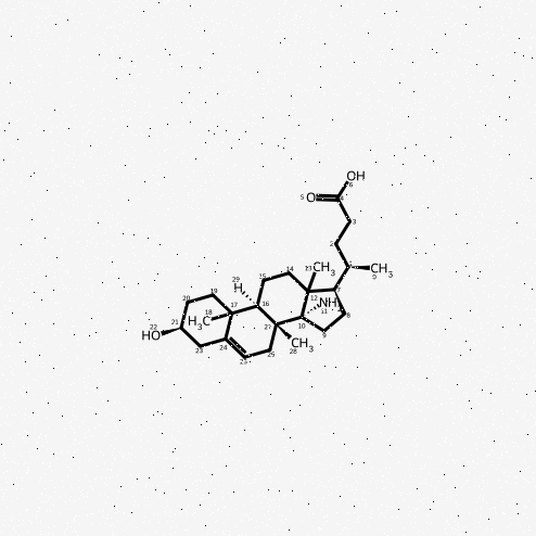 C[C@H](CCC(=O)O)[C@H]1CC[C@]2(N)C1(C)CC[C@@H]1C3(C)CC[C@H](O)CC3=CC[C@]12C